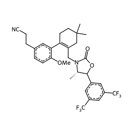 COc1ccc(CCC#N)cc1C1=C(CN2C(=O)OC(c3cc(C(F)(F)F)cc(C(F)(F)F)c3)[C@@H]2C)CC(C)(C)CC1